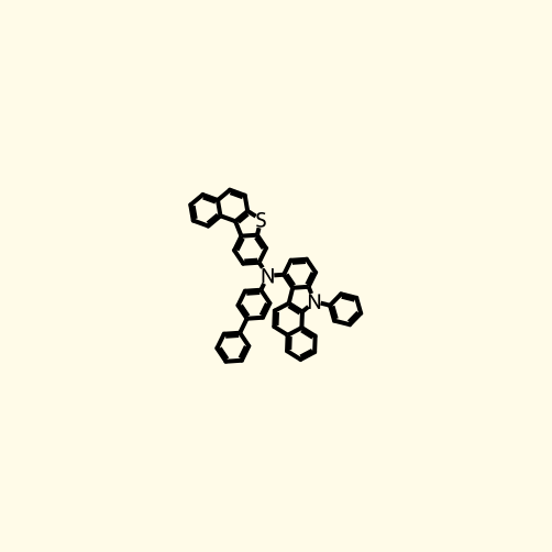 c1ccc(-c2ccc(N(c3ccc4c(c3)sc3ccc5ccccc5c34)c3cccc4c3c3ccc5ccccc5c3n4-c3ccccc3)cc2)cc1